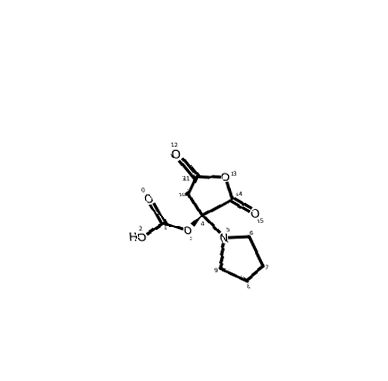 O=C(O)O[C@@]1(N2CCCC2)CC(=O)OC1=O